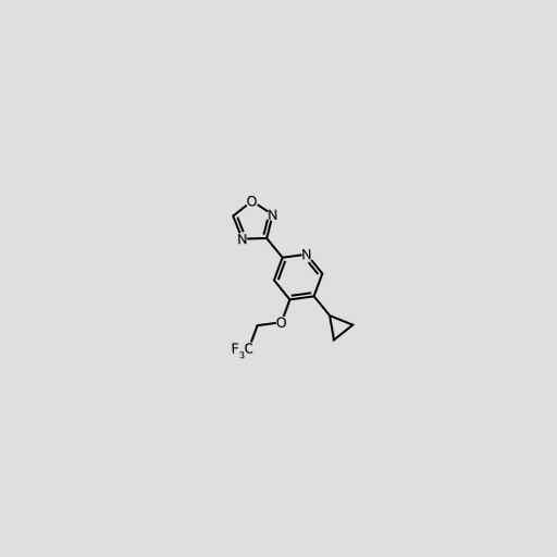 FC(F)(F)COc1cc(-c2ncon2)ncc1C1CC1